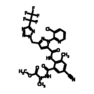 COC(=O)N(C)NC(=O)c1cc(C#N)cc(C)c1NC(=O)c1cc(Cn2nnc(C(F)(F)C(F)(F)F)n2)nn1-c1ncccc1Cl